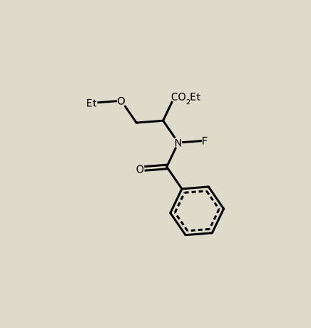 CCOCC(C(=O)OCC)N(F)C(=O)c1ccccc1